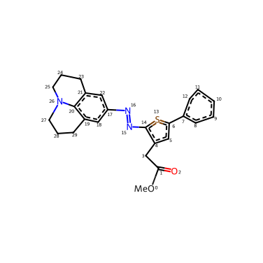 COC(=O)Cc1cc(-c2ccccc2)sc1N=Nc1cc2c3c(c1)CCCN3CCC2